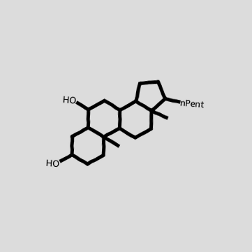 CCCCCC1CCC2C3CC(O)C4CC(O)CCC4(C)C3CCC12C